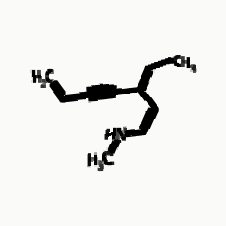 C=CC#CC(/C=C\NC)=C/C